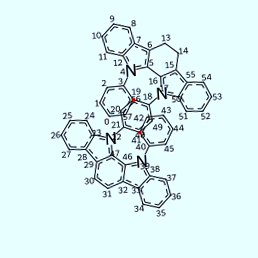 c1ccc(-n2c3c(c4ccccc42)CCc2c-3n(-c3ccc(-n4c5ccccc5c5ccc6c7ccccc7n(-c7ccccc7)c6c54)cc3)c3ccccc23)cc1